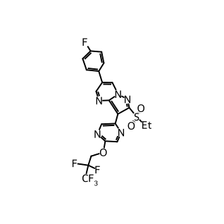 CCS(=O)(=O)c1nn2cc(-c3ccc(F)cc3)cnc2c1-c1cnc(OCC(F)(F)C(F)(F)F)cn1